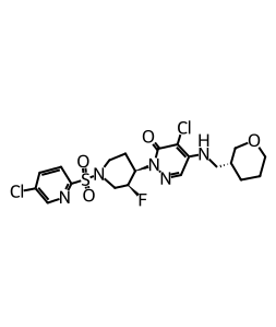 O=c1c(Cl)c(NC[C@H]2CCCOC2)cnn1[C@@H]1CCN(S(=O)(=O)c2ccc(Cl)cn2)C[C@@H]1F